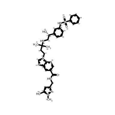 Cn1nc(CNC(=O)c2cnc3c(c2)ncn3CCC(C)(C)NC[C@H](O)c2cccc(NS(=O)(=O)c3ccccc3)c2)cc1O